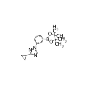 CC1(C)OB(c2cccc(-n3cnc(C4CC4)n3)c2)OC1(C)C